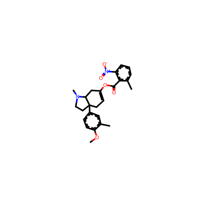 COc1ccc(C23CC=C(OC(=O)c4c(C)cccc4[N+](=O)[O-])CC2N(C)CC3)cc1C